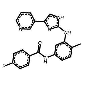 Cc1ccc(NC(=O)c2ccc(F)cc2)cc1Nc1nc(-c2cccnc2)c[nH]1